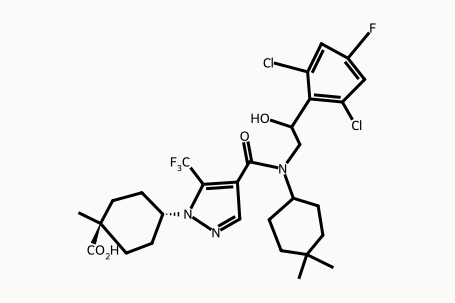 CC1(C)CCC(N(CC(O)c2c(Cl)cc(F)cc2Cl)C(=O)c2cnn([C@H]3CC[C@](C)(C(=O)O)CC3)c2C(F)(F)F)CC1